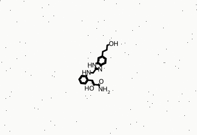 NC(=O)C(O)=Cc1ccccc1NCc1nc2ccc(CCCO)cc2[nH]1